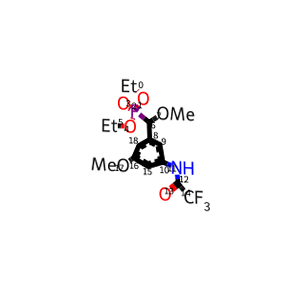 CCOP(=O)(OCC)C(OC)c1cc(NC(=O)C(F)(F)F)cc(OC)c1